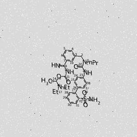 CCCN(Cc1cccc(C(=N)NC(=O)OC(C)N(CC)CC)c1)C(=O)Nc1ccc(-c2ccccc2S(N)(=O)=O)cc1